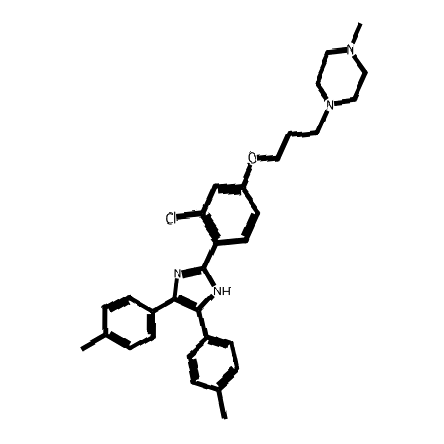 Cc1ccc(-c2nc(-c3ccc(OCCCN4CCN(C)CC4)cc3Cl)[nH]c2-c2ccc(C)cc2)cc1